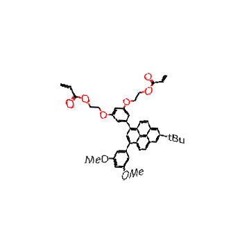 C=CC(=O)OCCOc1cc(OCCOC(=O)C=C)cc(-c2cc(-c3cc(OC)cc(OC)c3)c3ccc4cc(C(C)(C)C)cc5ccc2c3c45)c1